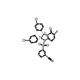 N#Cc1cccc(S(=O)(=O)N2c3ccc(I)c(=O)n3[C@@H](c3ccc(Cl)cc3)[C@H]2c2ccc(Cl)cc2)c1